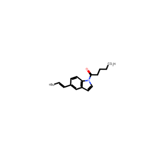 CCCCC=Cc1ccc2c(ccn2C(=O)CCCC(=O)O)c1